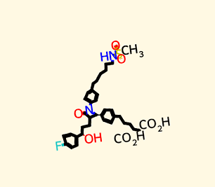 CS(=O)(=O)NCCCCCCc1ccc(N2C(=O)C(CC[C@H](O)c3ccc(F)cc3)[C@H]2c2ccc(CCCCC(C(=O)O)C(=O)O)cc2)cc1